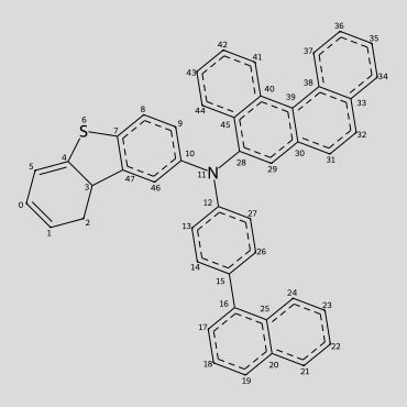 C1=CCC2C(=C1)Sc1ccc(N(c3ccc(-c4cccc5ccccc45)cc3)c3cc4ccc5ccccc5c4c4ccccc34)cc12